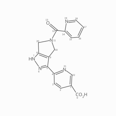 O=C(O)c1ccc(-c2n[nH]c3c2CN(C(=O)c2ccccn2)C3)nc1